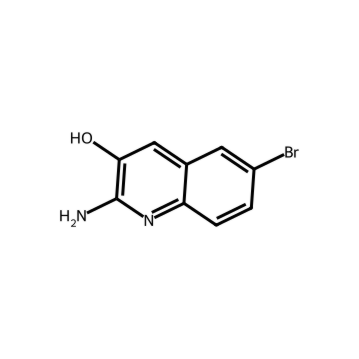 Nc1nc2ccc(Br)cc2cc1O